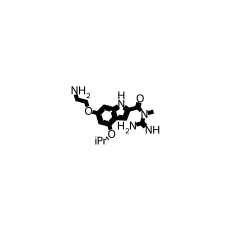 CC(C)Oc1cc(OCCN)cc2[nH]c(C(=O)N(C)C(=N)N)cc12